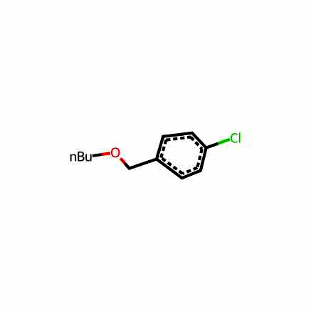 [CH2]CCCOCc1ccc(Cl)cc1